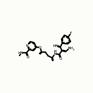 C=C(CCC(=C)Oc1ccnc(C(=O)NC)c1)NC(=O)/C(=C/N)C(=N)c1ccc(F)cc1